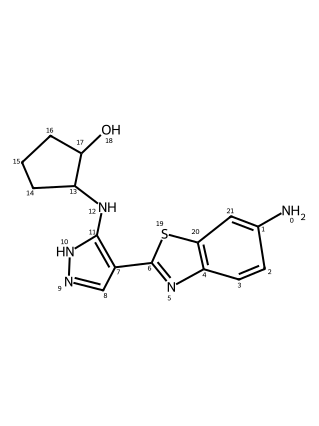 Nc1ccc2nc(-c3cn[nH]c3NC3CCCC3O)sc2c1